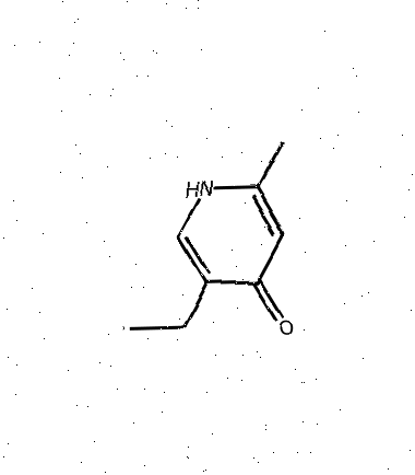 [CH2]Cc1c[nH]c(C)cc1=O